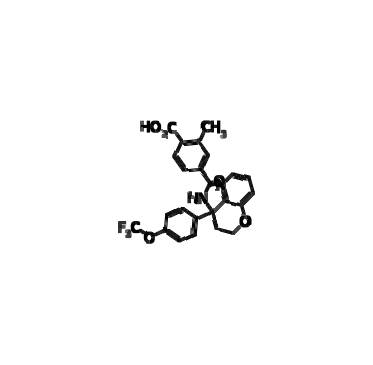 Cc1cc(C(=O)NC2(c3ccc(OC(F)(F)F)cc3)CCOc3cccnc32)ccc1C(=O)O